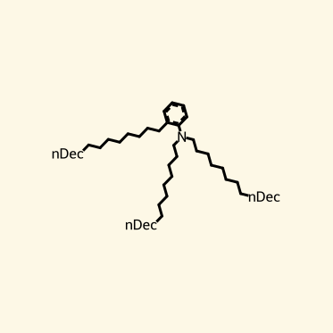 CCCCCCCCCCCCCCCCCCc1ccccc1N(CCCCCCCCCCCCCCCCCC)CCCCCCCCCCCCCCCCCC